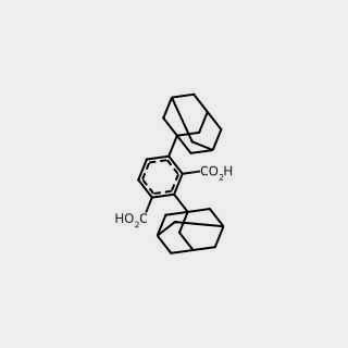 O=C(O)c1ccc(C23CC4CC(CC(C4)C2)C3)c(C(=O)O)c1C12CC3CC(CC(C3)C1)C2